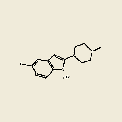 Br.CN1CCC(c2cc3cc(F)ccc3s2)CC1